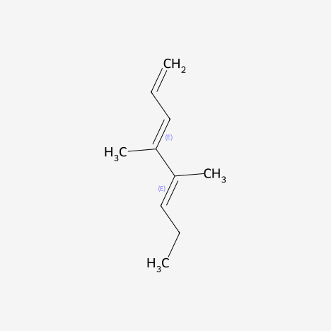 C=C/C=C(C)/C(C)=C/CC